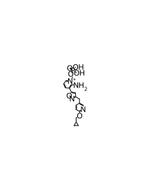 Nc1c(-c2cc(Cc3ccc(OCC4CC4)nc3)no2)ccc[n+]1COP(=O)(O)O